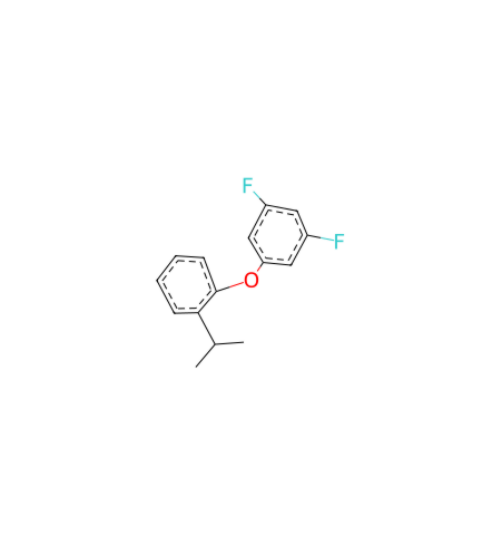 CC(C)c1ccccc1Oc1cc(F)cc(F)c1